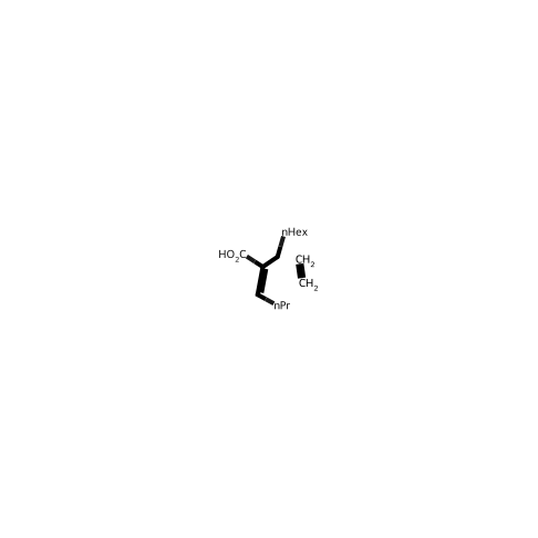 C=C.CCCC=C(CCCCCCC)C(=O)O